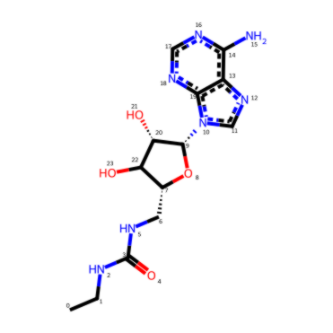 CCNC(=O)NC[C@H]1O[C@@H](n2cnc3c(N)ncnc32)[C@@H](O)C1O